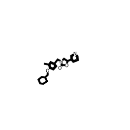 Cc1cc(CN2CC(c3cccnc3)OC2=O)ccc1OCC1CCCCC1